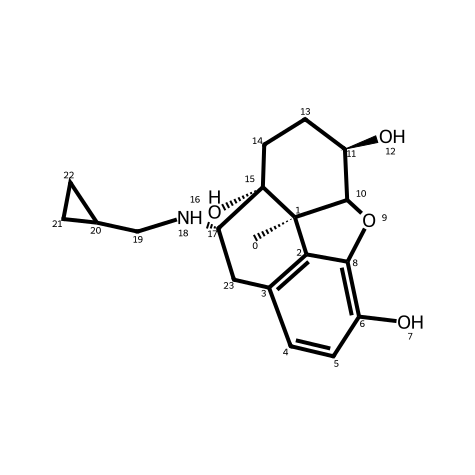 C[C@@]12c3c4ccc(O)c3OC1[C@H](O)CC[C@]2(O)[C@@H](NCC1CC1)C4